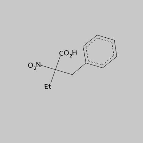 CCC(Cc1ccccc1)(C(=O)O)[N+](=O)[O-]